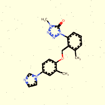 Cc1cc(-n2ccnc2)ccc1OCc1c(C)cccc1-n1nnn(C)c1=O